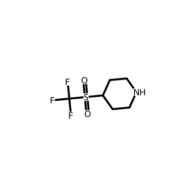 O=S(=O)(C1CCNCC1)C(F)(F)F